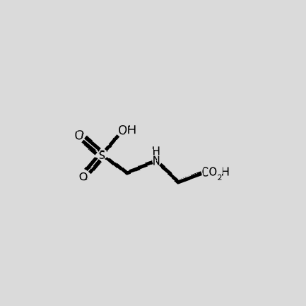 O=C(O)CNCS(=O)(=O)O